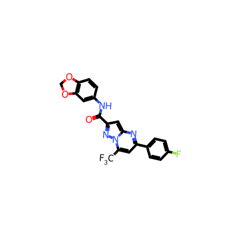 O=C(Nc1ccc2c(c1)OCO2)c1cc2nc(-c3ccc(F)cc3)cc(C(F)(F)F)n2n1